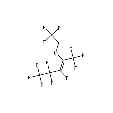 FC(=C(OCC(F)(F)F)C(F)(F)F)C(F)(F)C(F)(F)F